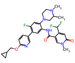 CC1CN(c2cc(F)c(-c3ccc(OCC4CC4)nc3)cc2NC(=O)c2cn(C)c(=O)cc2C(F)F)CCN1C